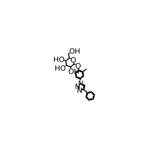 Cc1cc(-n2cc(-c3ccccc3)nn2)ccc1OC1OC(CO)C(O)C(O)C1O